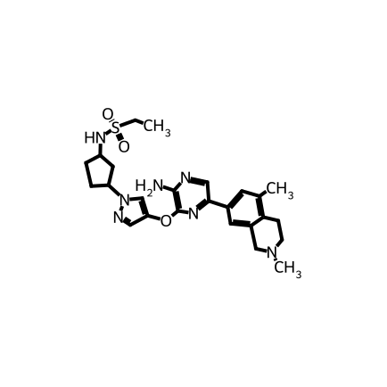 CCS(=O)(=O)NC1CCC(n2cc(Oc3nc(-c4cc(C)c5c(c4)CN(C)CC5)cnc3N)cn2)C1